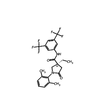 CC[C@]1(C(=O)Nc2cc(C(F)(F)F)cc(C(F)(F)F)c2)CC(=O)N(c2c(C)cccc2C)C1